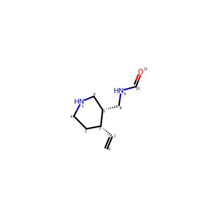 C=C[C@@H]1CCNC[C@@H]1CNC=O